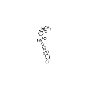 CS(=O)(=O)c1cc(C(=O)NC2CC3(C2)CN(c2nc4cc(Cl)ccc4o2)C3)ccn1